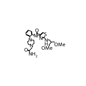 COCC(CNc1nc(C(=O)Nc2ccccc2N2CCN(CC(N)=O)CC2)cs1)COC